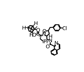 CC(C)C[C@@H](B1O[C@@H]2C[C@@H]3C[C@@H](C3(C)C)[C@]2(C)O1)N1OC(Cc2ccc(Cl)cc2)CC1CNC(=O)c1nccc2ccccc12